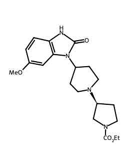 CCOC(=O)N1CC[C@H](N2CCC(n3c(=O)[nH]c4ccc(OC)cc43)CC2)C1